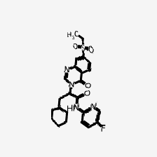 CCS(=O)(=O)c1ccc2c(=O)n(C(CC3CCCCC3)C(=O)Nc3ccc(F)cn3)cnc2c1